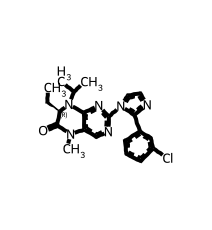 CC[C@@H]1C(=O)N(C)c2cnc(-n3ccnc3-c3cccc(Cl)c3)nc2N1C(C)C